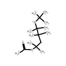 CC(=O)OC(C)(C)CC(C)(C)C(C)(C)OC(C)(C)C